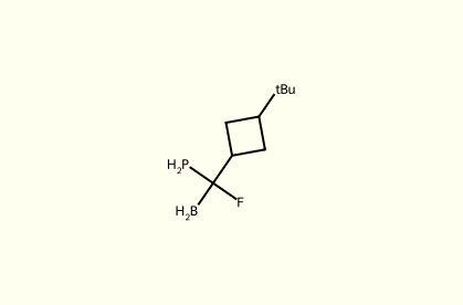 BC(F)(P)C1CC(C(C)(C)C)C1